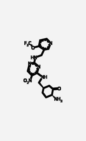 N[C@@H]1CC[C@@H](CNc2nc(NCc3cnccc3OC(F)(F)F)ncc2[N+](=O)[O-])CC1=O